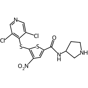 O=C(NC1CCNC1)c1cc([N+](=O)[O-])c(Sc2c(Cl)cncc2Cl)s1